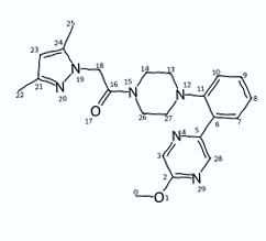 COc1cnc(-c2ccccc2N2CCN(C(=O)Cn3nc(C)cc3C)CC2)cn1